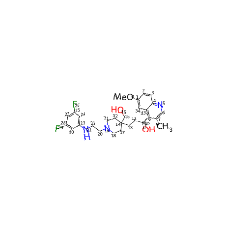 COc1ccc2ncc(C)c([C@H](O)CCC3(CO)CCN(CCNc4cc(F)cc(F)c4)CC3)c2c1